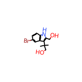 CC(C)(CO)c1c(CO)[nH]c2ccc(Br)cc12